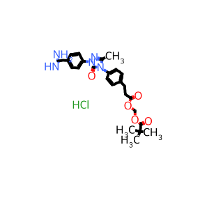 Cc1nn(-c2ccc(C(=N)N)cc2)c(=O)n1-c1ccc(CCC(=O)OCOC(=O)C(C)(C)C)cc1.Cl